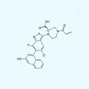 C=CC(=O)N1CCN(c2snc3c(F)c(-c4cc(O)cc5ccccc45)c(Cl)cc23)[C@@H](C(=O)O)C1